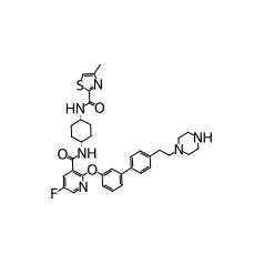 Cc1csc(C(=O)N[C@H]2CC[C@@H](NC(=O)c3cc(F)cnc3Oc3cccc(-c4ccc(CCN5CCNCC5)cc4)c3)CC2)n1